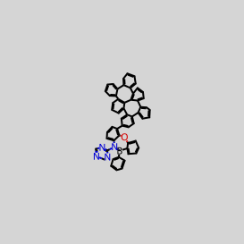 c1ccc(B2c3ccccc3Oc3c(-c4ccc5c(c4)c4cccc6c4-c4c(cccc4c4ccccc45)c4ccccc4c4ccccc64)cccc3N2c2ncncn2)cc1